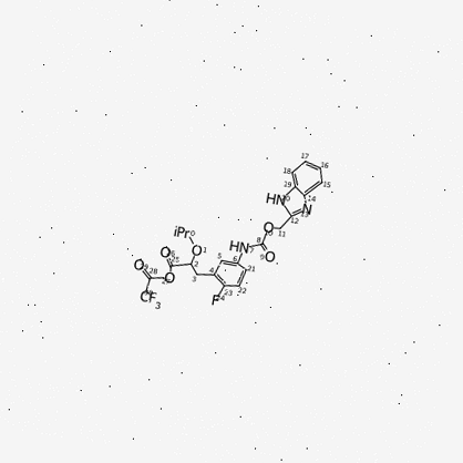 CC(C)OC(Cc1cc(NC(=O)OCc2nc3ccccc3[nH]2)ccc1F)C(=O)OC(=O)C(F)(F)F